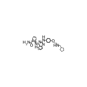 NC(=O)[C@H]1C2C=CC(C2)[C@H]1Nc1nc(Nc2ccc(OCCNCC3CCCC3)cc2)nc2ccsc12